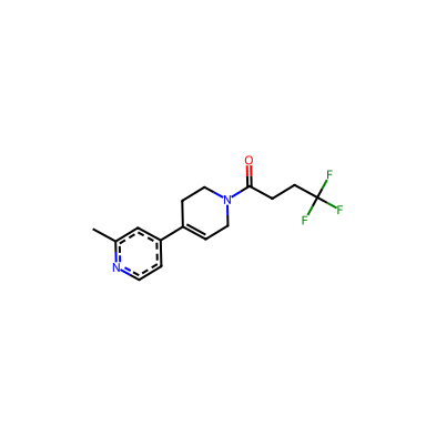 Cc1cc(C2=CCN(C(=O)CCC(F)(F)F)CC2)ccn1